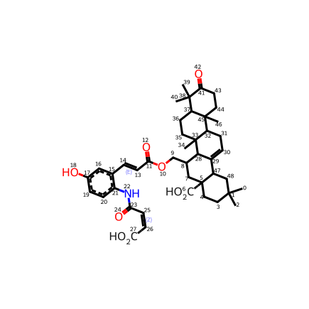 CC1(C)CCC2(C(=O)O)CC(COC(=O)/C=C/c3cc(O)ccc3NC(=O)/C=C\C(=O)O)C3C(=CCC4C3(C)CCC3C(C)(C)C(=O)CCC34C)C2C1